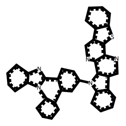 c1ccc2c(c1)nc1c3ccc(-n4c5ccccc5c5cnc6c(ncc7c8ccccc8sc76)c54)cc3c3ccccc3n21